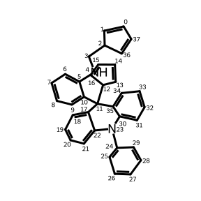 C1=CC(CNc2ccccc2C2(C3C=CC=C3)c3ccccc3N(c3ccccc3)c3ccccc32)C=C1